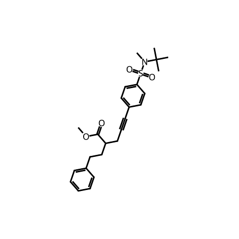 COC(=O)C(CC#Cc1ccc(S(=O)(=O)N(C)C(C)(C)C)cc1)CCc1ccccc1